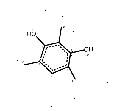 Cc1cc(C)c(O)c(C)c1O